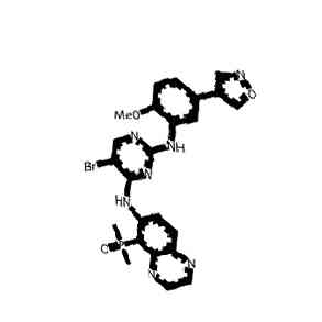 COc1ccc(-c2cnoc2)cc1Nc1ncc(Br)c(Nc2ccc3nccnc3c2P(C)(C)=O)n1